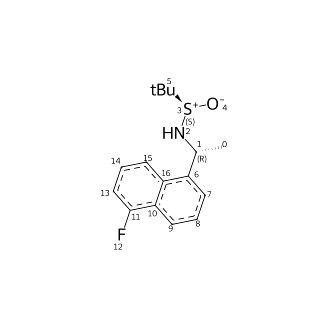 C[C@@H](N[S@+]([O-])C(C)(C)C)c1cccc2c(F)cccc12